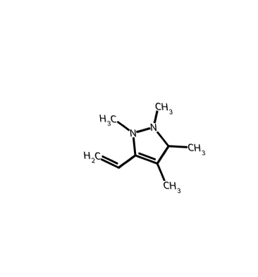 C=CC1=C(C)C(C)N(C)N1C